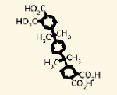 CC(C)(c1ccc(C(C)(C)c2ccc(C(=O)O)c(C(=O)O)c2)cc1)c1ccc(C(=O)O)c(C(=O)O)c1